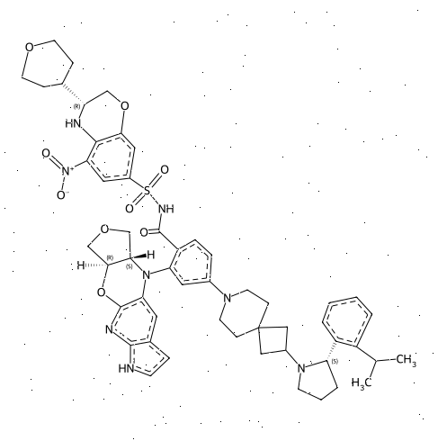 CC(C)c1ccccc1[C@@H]1CCCN1C1CC2(CCN(c3ccc(C(=O)NS(=O)(=O)c4cc5c(c([N+](=O)[O-])c4)N[C@H](C4CCOCC4)CO5)c(N4c5cc6cc[nH]c6nc5O[C@H]5COC[C@@H]54)c3)CC2)C1